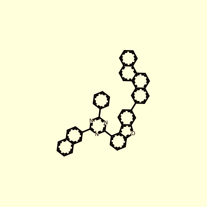 c1ccc(-c2nc(-c3ccc4ccccc4c3)nc(-c3cccc4oc5cc(-c6ccc7ccc8c9ccccc9ccc8c7c6)ccc5c34)n2)cc1